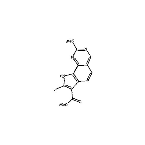 COC(=O)c1c(I)[nH]c2c1ccc1cnc(SC)nc12